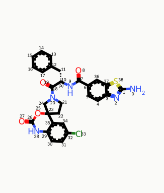 Nc1nc2ccc(C(=O)N[C@@H](Cc3ccccc3)C(=O)N3CCC4(C3)OC(=O)Nc3ccc(Cl)cc34)cc2s1